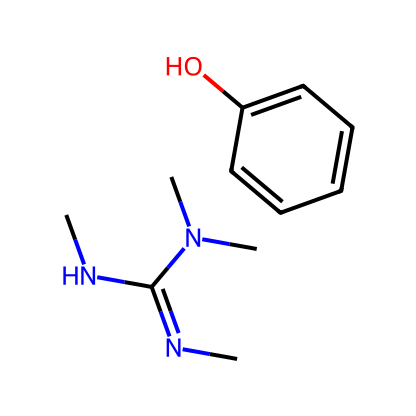 CN=C(NC)N(C)C.Oc1ccccc1